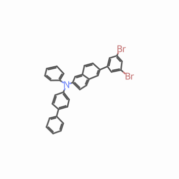 Brc1cc(Br)cc(-c2ccc3cc(N(c4ccccc4)c4ccc(-c5ccccc5)cc4)ccc3c2)c1